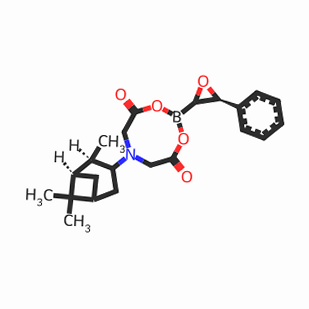 C[C@H]1C(N2CC(=O)OB(C3O[C@H]3c3ccccc3)OC(=O)C2)CC2C[C@H]1C2(C)C